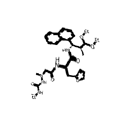 CCNC(=O)NN(C)CC(=O)NC(Cc1ccco1)C(=O)N[C@H](c1cccc2ccccc12)[C@H](C)C(OCC)OCC